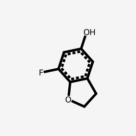 Oc1cc(F)c2c(c1)CCO2